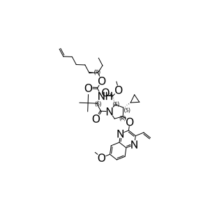 C=CCCCC[C@@H](CC)OC(=O)N[C@H](C(=O)N1C[C@H](Oc2nc3cc(OC)ccc3nc2C=C)[C@@H](C2CC2)[C@H]1C(=O)OC)C(C)(C)C